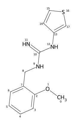 COc1ccccc1CNC(=N)Nc1ccsc1